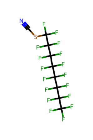 N#CSC(F)(F)C(F)(F)C(F)(F)C(F)(F)C(F)(F)C(F)(F)C(F)(F)C(F)(F)F